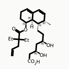 C=CCC(CC)(CC)C(=O)O[C@H]1CCC=C2C=C[C@H](C)[C@H](CC[C@@H](O)C[C@@H](O)CC(=O)O)[C@H]21